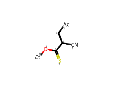 CCOC(=S)C(C#N)CC(C)=O